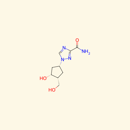 NC(=O)c1ncn([C@@H]2C[C@H](CO)[C@H](O)C2)n1